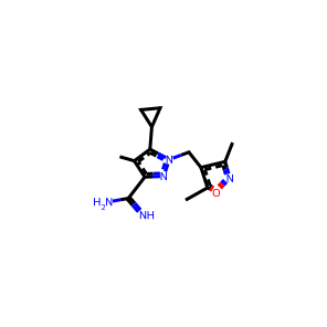 Cc1noc(C)c1Cn1nc(C(=N)N)c(C)c1C1CC1